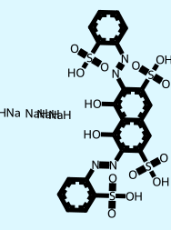 O=S(=O)(O)c1ccccc1N=Nc1c(S(=O)(=O)O)cc2cc(S(=O)(=O)O)c(N=Nc3ccccc3S(=O)(=O)O)c(O)c2c1O.[NaH].[NaH].[NaH].[NaH]